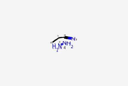 CCC#N.NN